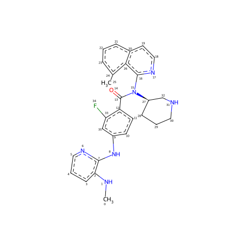 CNc1cccnc1Nc1ccc(C(=O)N(c2nccc3cccc(C)c23)[C@@H]2CCCNC2)c(F)c1